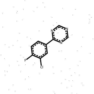 Fc1ccc(-c2n[c]ncn2)cc1Cl